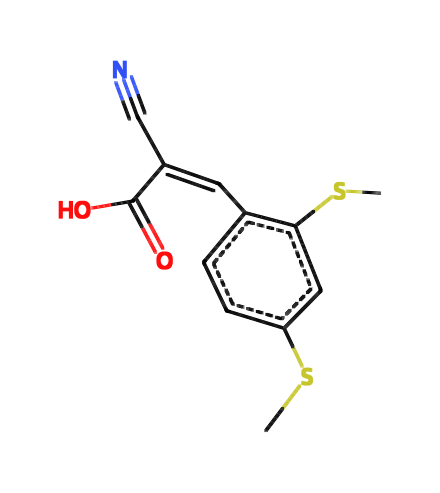 CSc1ccc(C=C(C#N)C(=O)O)c(SC)c1